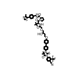 Cc1ncsc1-c1ccc(CNC(=O)[C@@H]2CCCN2C(=O)C(NC(=O)COC[C@H](O)CCOc2ccc(-c3ccc(N4C(=S)N(c5ccc(C#N)c(C(F)(F)F)c5)C(=O)C4(C)C)cc3)cc2)C(C)(C)C)cc1